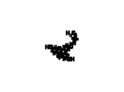 CCC1CN(CCOc2ccc(C3Oc4cc(O)ccc4C(C)=C3c3ccc(O)cc3F)cc2)C1